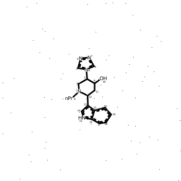 CCCN1CC(n2cnnc2)C(O)CC1c1c[nH]c2ccccc12